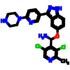 Cc1ncc(Cl)c([C@@H](N)Oc2ccc3[nH]nc(-c4ccc(N5CCNCC5)nc4)c3c2)c1Cl